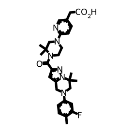 Cc1ccc(N2Cc3cc(C(=O)N4CCN(c5ccc(CC(=O)O)cn5)CC4(C)C)nn3C(C)(C)C2)cc1F